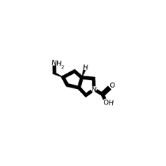 NC[C@@H]1CC2CN(C(=O)O)C[C@H]2C1